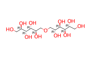 OC[C@@H](O)[C@@H](O)[C@H](O)[C@H](O)COC[C@@H](O)[C@@H](O)[C@H](O)[C@H](O)CO